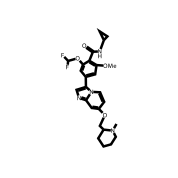 COc1cc(-c2cnc3cc(OCC4CCCCN4C)ccn23)cc(OC(F)F)c1C(=O)NC1CC1